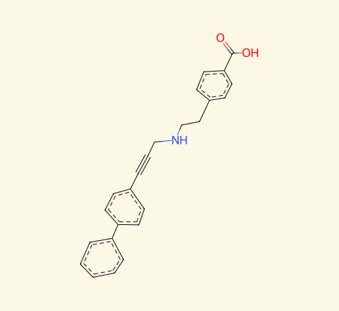 O=C(O)c1ccc(CCNCC#Cc2ccc(-c3ccccc3)cc2)cc1